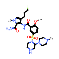 CCOc1ccc(S(=O)(=O)N2CCNCC2N2CCN(CC)CC2)cc1C(=O)Nc1c(CCCF)cn(CC)c1C(N)=O